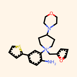 Nc1ccc(-c2cccs2)cc1[N+]1(Cc2ccco2)CCC(N2CCOCC2)CC1